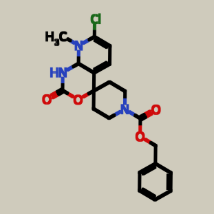 CN1C(Cl)=CC=C2C1NC(=O)OC21CCN(C(=O)OCc2ccccc2)CC1